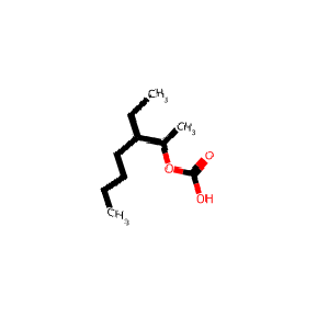 CCCCC(CC)C(C)OC(=O)O